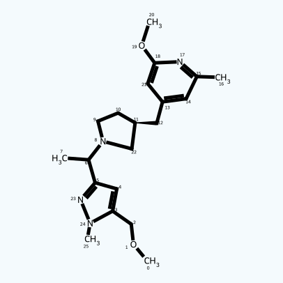 COCc1cc(C(C)N2CC[C@@H](Cc3cc(C)nc(OC)c3)C2)nn1C